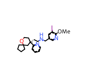 COc1ncc(CNCC[C@@]2(c3ccccn3)CCOC3(CCCC3)C2)cc1I